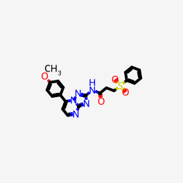 COc1ccc(-c2ccnc3nc(NC(=O)CCS(=O)(=O)c4ccccc4)nn23)cc1